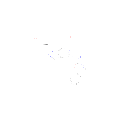 C[C@@H](NC(=O)Nc1cc2cnn(CCO)c2c(CO)n1)c1ccccc1